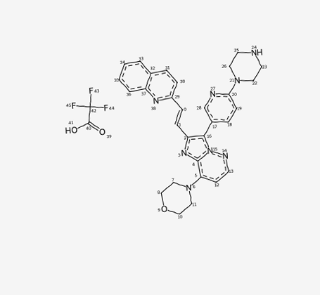 C(=Cc1nc2c(N3CCOCC3)ccnn2c1-c1ccc(N2CCNCC2)nc1)c1ccc2ccccc2n1.O=C(O)C(F)(F)F